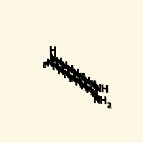 CN1NN2N1N1N2N2N1N1N3N4N5N(N)NN5N4N3N21